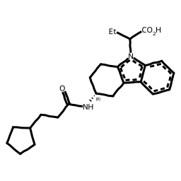 CCC(C(=O)O)n1c2c(c3ccccc31)C[C@H](NC(=O)CCC1CCCC1)CC2